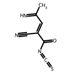 CC(=N)/C=C(\C#N)C(=O)N=C=S